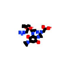 NCC(=O)[O-].NCC(=O)[O-].O=C1C=C(N2CC2)C(=O)C(N2CC2)=C1N1CC1.[Mn+2]